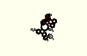 C=C1CC2C(CCc3ccc4c(oc5ccccc54)c3-c3n(-c4c(-c5ccccc5)cc(C(C)(C)C)cc4-c4ccccc4)c4ccccc4[n+]31)c1cc(C)ccc1-c1cc(C)c([Si](C)(C)C)c[n+]12